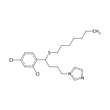 CCCCCCCSC(CCCn1ccnc1)c1ccc(Cl)cc1Cl